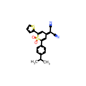 CC(C)c1ccc(C2=CC(=C(C#N)C#N)C=C(c3cccs3)S2(=O)=O)cc1